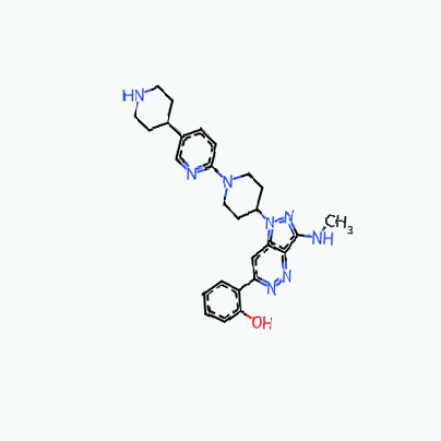 CNc1nn(C2CCN(c3ccc(C4CCNCC4)cn3)CC2)c2cc(-c3ccccc3O)nnc12